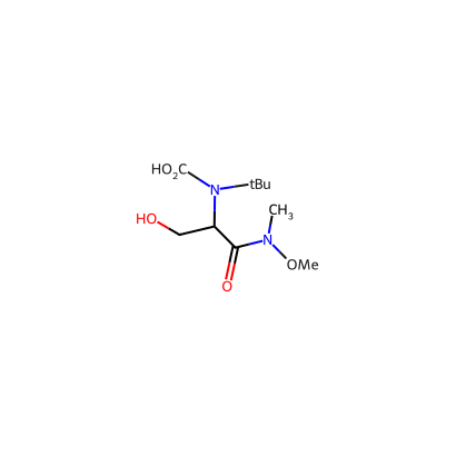 CON(C)C(=O)C(CO)N(C(=O)O)C(C)(C)C